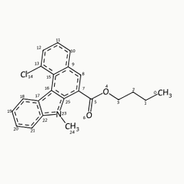 CCCCOC(=O)c1cc2cccc(Cl)c2c2c3ccccc3n(C)c12